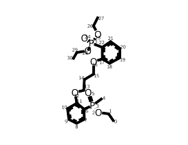 CCOP(C)(=O)c1ccccc1OCCCOc1ccccc1P(=O)(OCC)OCC